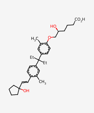 CCC(CC)(c1ccc(C=CC2(O)CCCC2)c(C)c1)c1ccc(OC[C@@H](O)CCCC(=O)O)c(C)c1